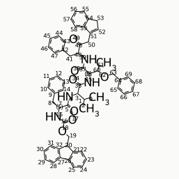 CC(C)C(NC(=O)[C@H](Cc1ccccc1)NC(=O)OCC1c2ccccc2-c2ccccc21)C(=O)N[C@H](C(=O)NC(Cc1ccccc1)C(=O)CC1=CCc2ccccc21)C(C)OCc1ccccc1